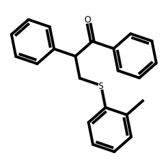 Cc1ccccc1SCC(C(=O)c1ccccc1)c1ccccc1